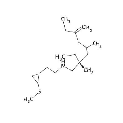 C=C(CC)CC(C)C[C@@](C)(CC)CNCCC1CC1SC